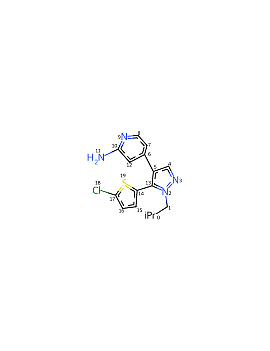 CC(C)Cn1ncc(-c2ccnc(N)c2)c1-c1ccc(Cl)s1